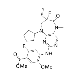 C=CC1(F)CN(C2CCCC2)c2nc(Nc3cc(F)c(C(=O)OC)cc3OC)ncc2N(C)C1=O